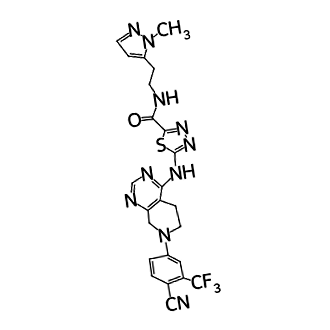 Cn1nccc1CCNC(=O)c1nnc(Nc2ncnc3c2CCN(c2ccc(C#N)c(C(F)(F)F)c2)C3)s1